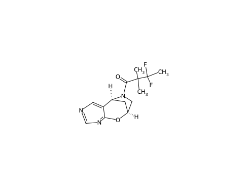 CC(F)(F)C(C)(C)C(=O)N1C[C@@H]2C[C@H]1c1cncnc1O2